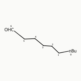 CC[CH]CCCCCCC=O